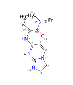 C/C=C(/Nc1ccn2ccnc2n1)C(=O)N(C)C(C)C